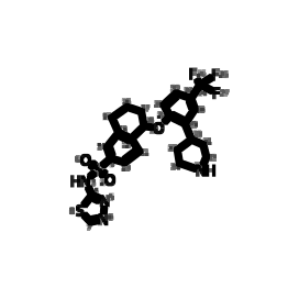 O=S(=O)(Nc1nncs1)c1ccc2c(c1)CCCC2Oc1ccc(C(F)(F)F)cc1C1CCNCC1